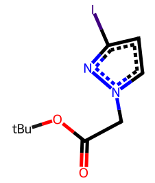 CC(C)(C)OC(=O)Cn1ccc(I)n1